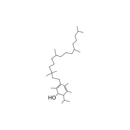 CC1=C(C)C(C(C)C)C(O)C(C)=C1CCC(C)(C)CCCC(C)CCCC(C)CCCC(C)C